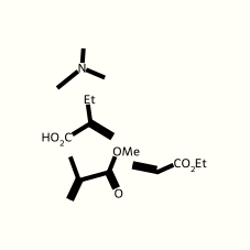 C=C(C)C(=O)OC.C=C(CC)C(=O)O.C=CC(=O)OCC.CN(C)C